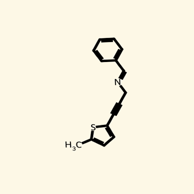 Cc1ccc(C#CC/N=C/c2ccccc2)s1